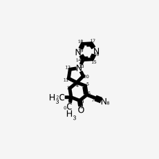 CC1(C)CC2(C=C(C#N)C1=O)CCN(c1cnccn1)C2